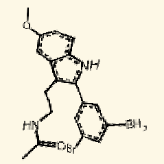 Bc1cc(Br)cc(-c2[nH]c3ccc(OC)cc3c2CCNC(C)=O)c1